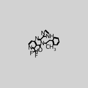 CC(Cc1ccccc1)n1c(-c2ncc[nH]2)nc2ccnc(C(F)(F)F)c2c1=O